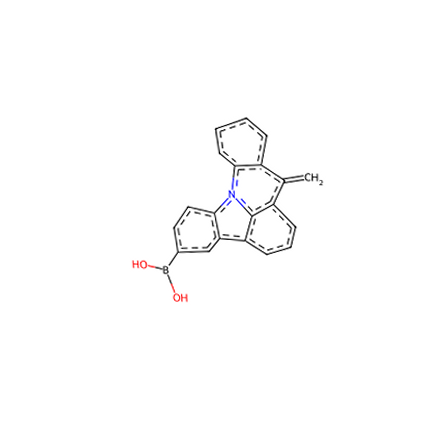 C=c1c2ccccc2n2c3ccc(B(O)O)cc3c3cccc1c32